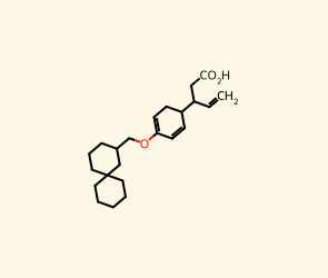 C=CC(CC(=O)O)C1C=CC(OCC2CCCC3(CCCCC3)C2)=CC1